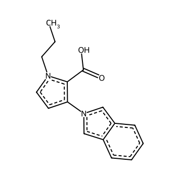 CCCn1ccc(-n2cc3ccccc3c2)c1C(=O)O